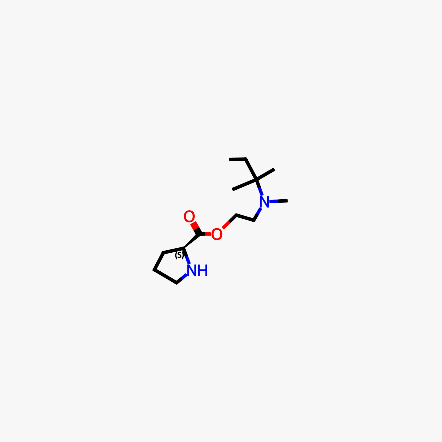 CCC(C)(C)N(C)CCOC(=O)[C@@H]1CCCN1